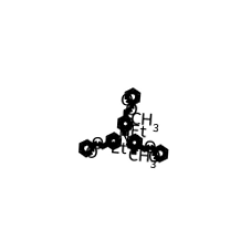 CCc1c(N(c2ccc(COC3CCCCO3)cc2)c2ccc(COC3CCCCO3)c(C)c2CC)ccc(COC2CCCCO2)c1C